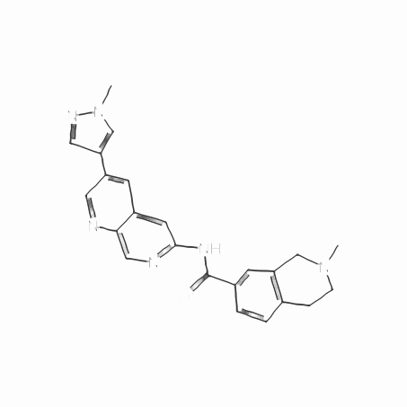 CN1CCc2ccc(C(=O)Nc3cc4cc(-c5cnn(C)c5)cnc4cn3)cc2C1